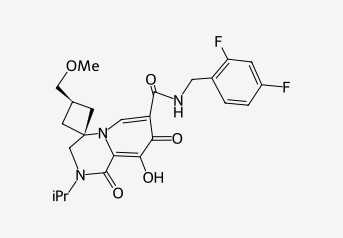 COC[C@H]1C[C@@]2(CN(C(C)C)C(=O)c3c(O)c(=O)c(C(=O)NCc4ccc(F)cc4F)cn32)C1